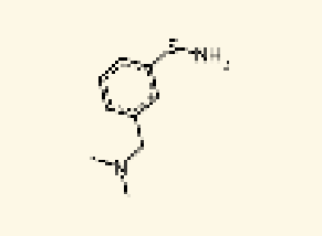 CN(C)Cc1cccc(SN)c1